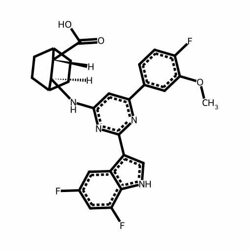 COc1cc(-c2cc(N[C@H]3C4CCC(CC4)[C@@H]3C(=O)O)nc(-c3c[nH]c4c(F)cc(F)cc34)n2)ccc1F